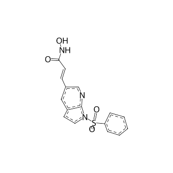 O=C(C=Cc1cnc2c(ccn2S(=O)(=O)c2ccccc2)c1)NO